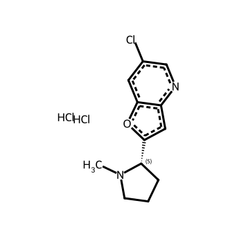 CN1CCC[C@H]1c1cc2ncc(Cl)cc2o1.Cl.Cl